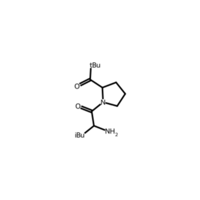 CCC(C)C(N)C(=O)N1CCCC1C(=O)C(C)(C)C